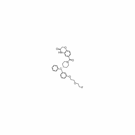 O=C1COc2ccc(C(=O)N3CCC([C@@H](c4ccccc4)c4cccc(OCCOCCF)c4)CC3)cc2N1